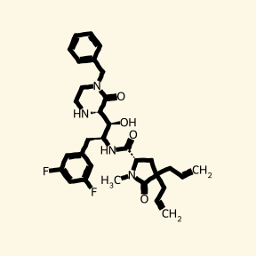 C=CCC1(CC=C)C[C@@H](C(=O)N[C@@H](Cc2cc(F)cc(F)c2)[C@H](O)[C@@H]2NCCN(Cc3ccccc3)C2=O)N(C)C1=O